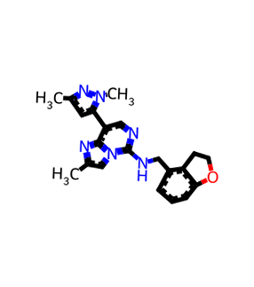 Cc1cn2c(NCc3cccc4c3CCO4)ncc(-c3cc(C)nn3C)c2n1